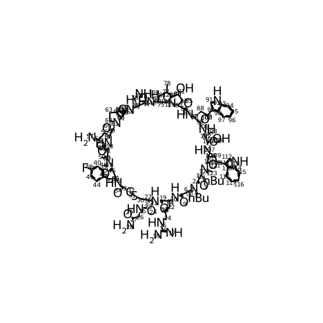 CCCC[C@H]1C(=O)N(C)[C@@H](CCCC)C(=O)N[C@@H](CCCNC(=N)N)C(=O)N[C@H](C(=O)NCC(N)=O)CSCC(=O)N[C@@H](Cc2ccc(F)cc2)C(=O)N(C)[C@@H](C)C(=O)N[C@@H](CC(N)=O)C(=O)N2CCC[C@H]2C(=O)N[C@@H](CN)C(=O)N[C@H]2CC(C)C3[C@H](O)CC(C(=O)N[C@@H](CCc4c[nH]c5ccccc45)C(=O)N[C@@H](CO)C(=O)N[C@@H](CCc4c[nH]c5ccccc45)C(=O)N1C)N3C2=O